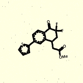 COC(=O)CC1CC(F)(F)C(=O)c2ccc(-c3cccs3)cc21